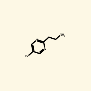 NCCc1ncc(Br)cn1